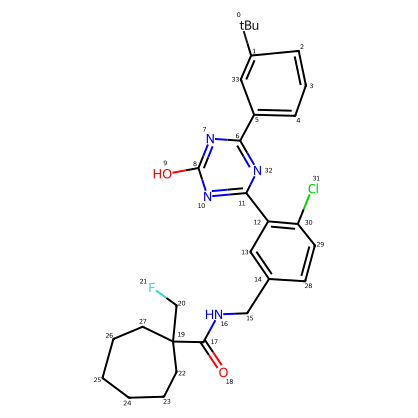 CC(C)(C)c1cccc(-c2nc(O)nc(-c3cc(CNC(=O)C4(CF)CCCCCC4)ccc3Cl)n2)c1